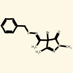 CC1=NN(C)C(=O)C1(Br)/C(C)=N/OCc1ccccc1